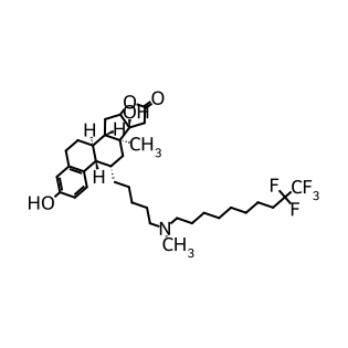 CN(CCCCCCCCC(F)(F)C(F)(F)F)CCCCC[C@H]1C[C@@]2(C)[C@@H](CC3OC(=O)C[C@@]32O)[C@@H]2CCc3cc(O)ccc3[C@@H]12